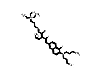 C\C=C/C(C(/F)=C/c1ccc2c(F)c(N(CCCC)CCCC)ccc2c1)=C(F)\C=N\CCC[N+](CC)(CC)CC